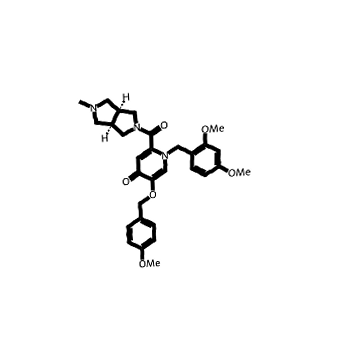 COc1ccc(COc2cn(Cc3ccc(OC)cc3OC)c(C(=O)N3C[C@H]4CN(C)C[C@H]4C3)cc2=O)cc1